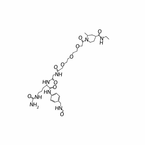 CCNC(=O)C1CCN(C(=O)COCCOCCOCC(=O)NCC(=O)NC(CCCNC(N)=O)C(=O)Nc2ccc(CNC=O)cc2)C(C)C1